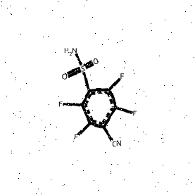 N#Cc1c(F)c(F)c(S(N)(=O)=O)c(F)c1F